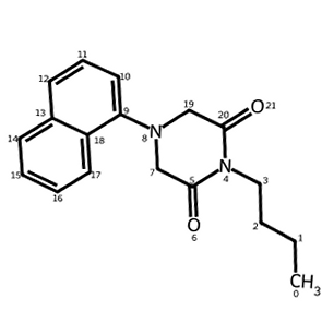 CCCCN1C(=O)CN(c2cccc3ccccc23)CC1=O